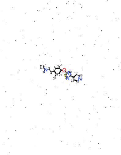 CCN(C)CCc1cc(C)c(Oc2nc(-c3ccncc3)ns2)cc1C